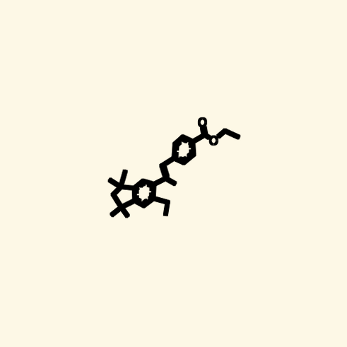 CCOC(=O)c1ccc(/C=C(\C)c2cc3c(cc2CC)C(C)(C)CC3(C)C)cc1